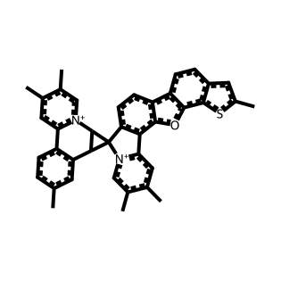 Cc1ccc2c(c1)C1C([n+]3cc(C)c(C)cc3-2)C12c1ccc3c(oc4c3ccc3cc(C)sc34)c1-c1cc(C)c(C)c[n+]12